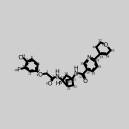 O=C(COc1ccc(Cl)c(F)c1)N[C@H]1CC2(NC(=O)c3ccc(C4=CCOCC4)nc3)CC1C2